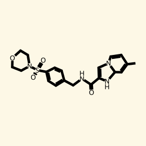 CC1=CC2NC(C(=O)NCc3ccc(S(=O)(=O)N4CCOCC4)cc3)=CN2C=C1